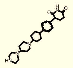 O=C1CCC(c2ccc(C3CCC(N4CCC(N5CCNCC5)CC4)CC3)cc2)C(=O)N1